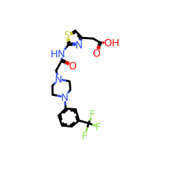 O=C(O)Cc1csc(NC(=O)CN2CCN(c3cccc(C(F)(F)F)c3)CC2)n1